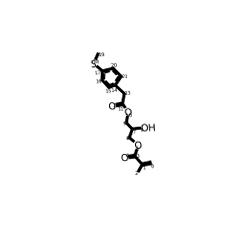 C=C(C)C(=O)OCC(O)COC(=O)Cc1ccc(SC)cc1